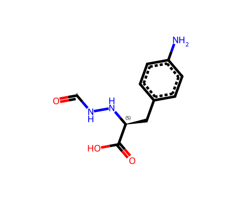 Nc1ccc(C[C@H](NN[C]=O)C(=O)O)cc1